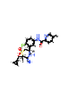 Cc1ccc(C(=O)Nc2ccc(F)c([C@]3(C)CS(=O)(=O)[C@@](C)(CC4CC4)C(=N)N3)c2)nc1